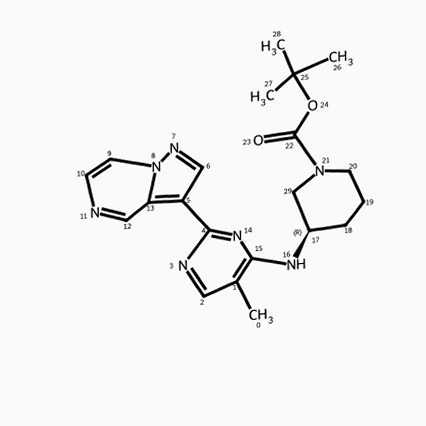 Cc1cnc(-c2cnn3ccncc23)nc1N[C@@H]1CCCN(C(=O)OC(C)(C)C)C1